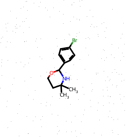 CC1(C)CCOC(c2ccc(Br)cc2)N1